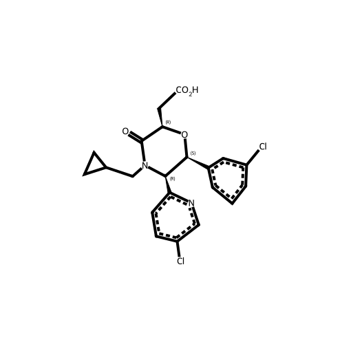 O=C(O)C[C@H]1O[C@@H](c2cccc(Cl)c2)[C@@H](c2ccc(Cl)cn2)N(CC2CC2)C1=O